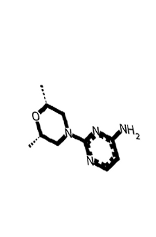 C[C@@H]1CN(c2nccc(N)n2)C[C@H](C)O1